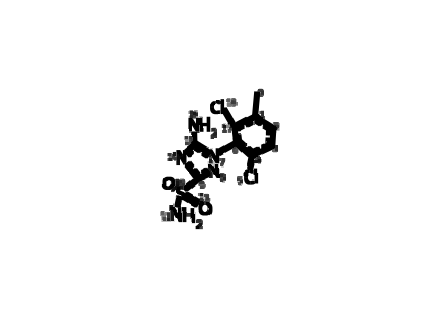 Cc1ccc(Cl)c(-n2nc(S(N)(=O)=O)nc2N)c1Cl